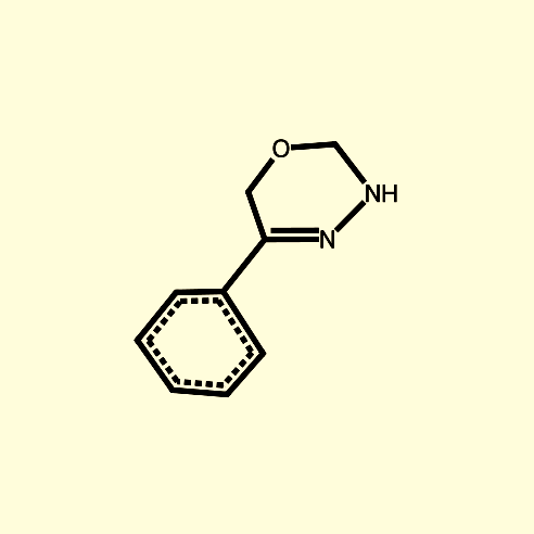 c1ccc(C2=NNCOC2)cc1